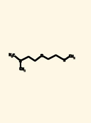 CSCCOCCN(C)C